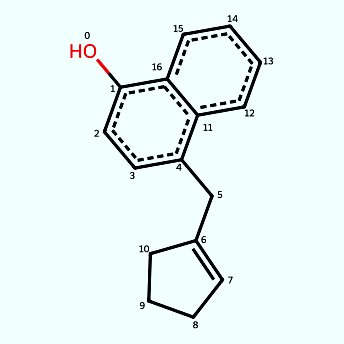 Oc1ccc(CC2=CCCC2)c2ccccc12